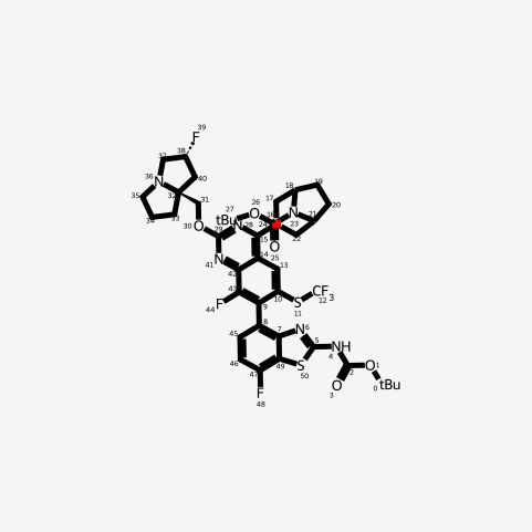 CC(C)(C)OC(=O)Nc1nc2c(-c3c(SC(F)(F)F)cc4c(N5CC6CCC(C5)N6C(=O)OC(C)(C)C)nc(OC[C@@]56CCCN5C[C@H](F)C6)nc4c3F)ccc(F)c2s1